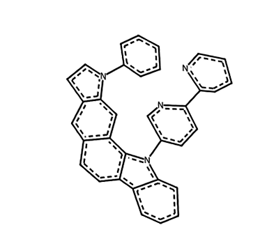 c1ccc(-n2ccc3cc4ccc5c6ccccc6n(-c6ccc(-c7ccccn7)nc6)c5c4cc32)cc1